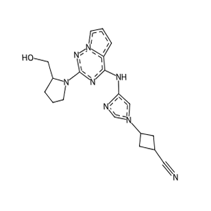 N#CC1CC(n2cnc(Nc3nc(N4CCCC4CO)nn4cccc34)c2)C1